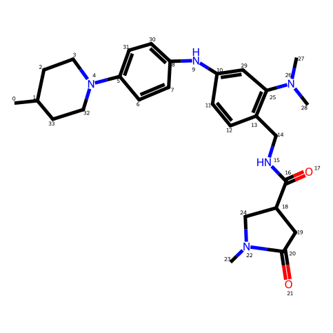 CC1CCN(c2ccc(Nc3ccc(CNC(=O)C4CC(=O)N(C)C4)c(N(C)C)c3)cc2)CC1